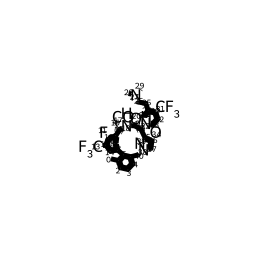 Cc1cccc2c1-c1cc(c(F)c(C(F)(F)F)c1)[C@H](CC(=O)O)NC(=O)[C@@H](n1cc(CCN(C)C)c(C(F)(F)F)cc1=O)c1ccn(n1)C2